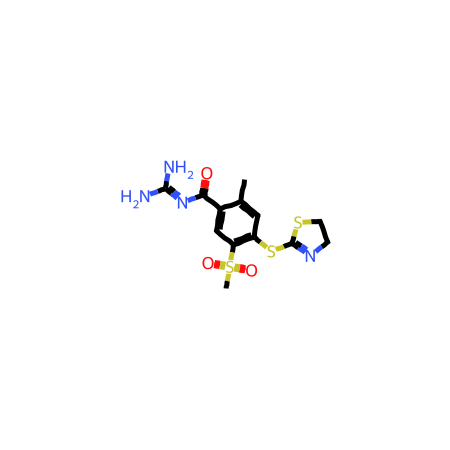 Cc1cc(SC2=NCCS2)c(S(C)(=O)=O)cc1C(=O)N=C(N)N